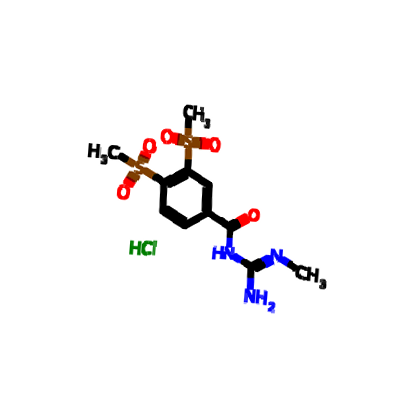 CN=C(N)NC(=O)c1ccc(S(C)(=O)=O)c(S(C)(=O)=O)c1.Cl